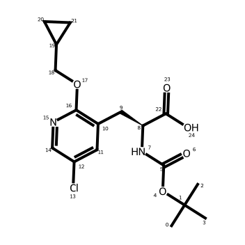 CC(C)(C)OC(=O)N[C@@H](Cc1cc(Cl)cnc1OCC1CC1)C(=O)O